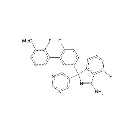 COc1cccc(-c2cc(C3(c4cncnc4)N=C(N)c4c(F)cccc43)ccc2F)c1F